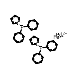 [Fe+2].[Pd+2].c1ccc(P(c2ccccc2)[c-]2cccc2)cc1.c1ccc(P(c2ccccc2)[c-]2cccc2)cc1